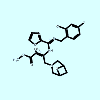 COC(=O)/C(C)=C(\CN1CC2CC(C1)O2)N/C(=N\Cc1ccc(F)cc1Cl)c1nccs1